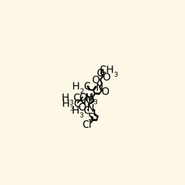 C=Cc1cn(CC(=O)C(=O)OC)c(=O)cc1-c1cc(N(C)Cc2ccc(Cl)s2)n(C(=O)C(C)(C)C)n1